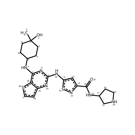 CC1(O)CCC(Nc2nc(Nc3cc(C(=O)NC4CCNC4)ns3)nc3ccsc23)CC1